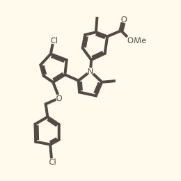 COC(=O)c1cc(-n2c(C)ccc2-c2cc(Cl)ccc2OCc2ccc(Cl)cc2)ccc1C